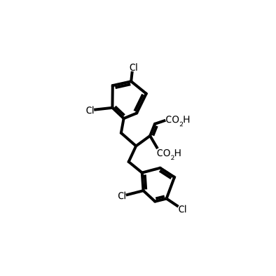 O=C(O)/C=C(\C(=O)O)C(Cc1ccc(Cl)cc1Cl)Cc1ccc(Cl)cc1Cl